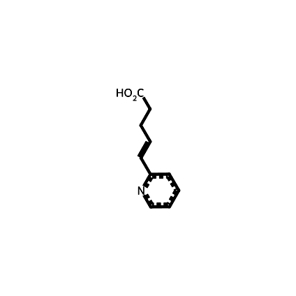 O=C(O)CCC=Cc1ccccn1